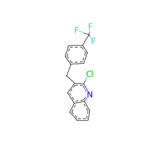 FC(F)(F)c1ccc(Cc2cc3ccccc3nc2Cl)cc1